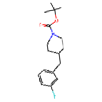 CC(C)(C)OC(=O)N1CCC(Cc2cccc(F)c2)CC1